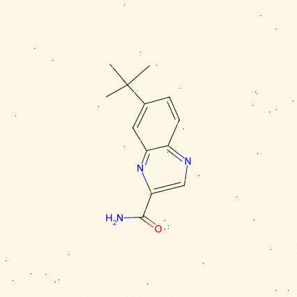 CC(C)(C)c1ccc2ncc(C(N)=O)nc2c1